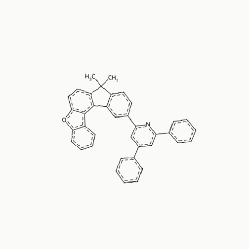 CC1(C)c2ccc(-c3cc(-c4ccccc4)cc(-c4ccccc4)n3)cc2-c2c1ccc1oc3ccccc3c21